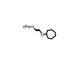 CCCCC/C=C/OC1CCCCCC1